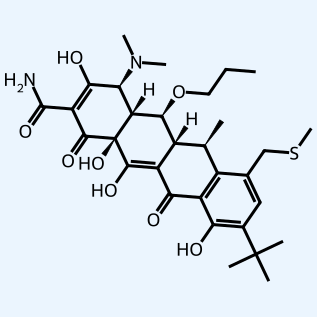 CCCO[C@H]1[C@H]2C(=C(O)[C@]3(O)C(=O)C(C(N)=O)=C(O)[C@@H](N(C)C)[C@H]13)C(=O)c1c(O)c(C(C)(C)C)cc(CSC)c1[C@@H]2C